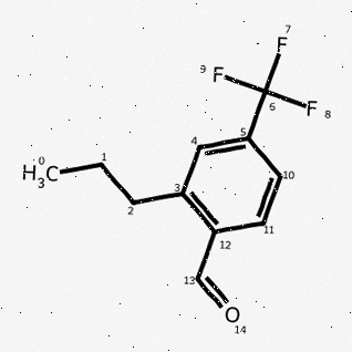 CCCc1cc(C(F)(F)F)ccc1C=O